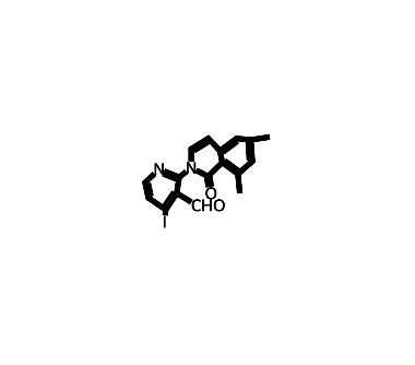 Cc1cc(C)c2c(=O)n(-c3nccc(I)c3C=O)ccc2c1